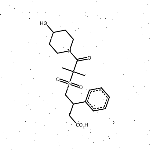 CC(C)(C(=O)N1CCC(O)CC1)S(=O)(=O)CC(CC(=O)O)c1ccccc1